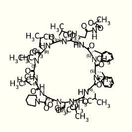 CC(C)C[C@@H]1NC(=O)[C@@H](CC(C)C)N(C)C(C=O)N(C)C(=O)[C@@H](C(=O)N2CCCCC2)NC(=O)[C@H](CC(C)C)N(C)C(=O)[C@H](CC(C)C)N(C)C(=O)[C@@H](CC(C)C)NC(=O)[C@H](CC(C)C)N(C)C(=O)[C@H](CCC(=O)NS(C)(=O)=O)NC(=O)[C@H](Cc2ccccc2)N(C)C(=O)[C@H](Cc2ccccc2)N(C)C1=O